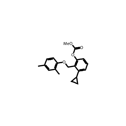 COC(=O)Oc1cccc(C2CC2)c1COc1ccc(C)cc1C